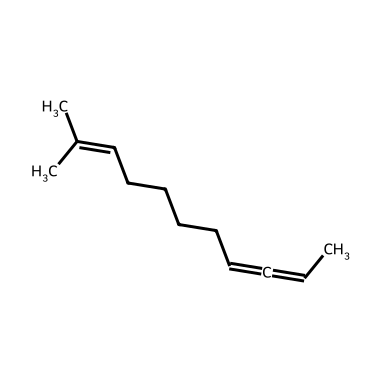 CC=C=CCCCCC=C(C)C